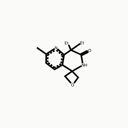 CCC1(CC)C(=O)NC2(COC2)c2ccc(C)nc21